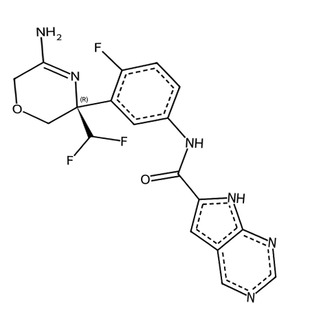 NC1=N[C@@](c2cc(NC(=O)c3cc4cncnc4[nH]3)ccc2F)(C(F)F)COC1